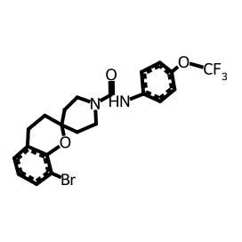 O=C(Nc1ccc(OC(F)(F)F)cc1)N1CCC2(CCc3cccc(Br)c3O2)CC1